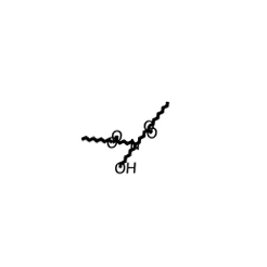 CCCCCCCCOC(=O)CCCCN(CCCCCCO)CCCCC(=O)OCCCCCCCC